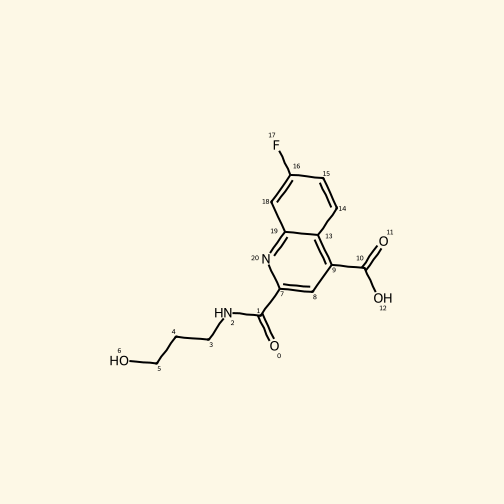 O=C(NCCCO)c1cc(C(=O)O)c2ccc(F)cc2n1